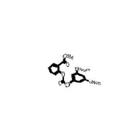 CCCCCCCCCc1cc(CCCCCCCCC)cc(OC(=O)Oc2ccccc2C(=O)OC)c1